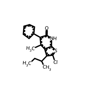 CCC(C)c1c(Cl)sc2[nH]c(=O)c(-c3ccccc3)c(C)c12